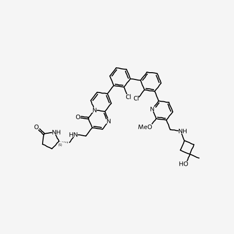 COc1nc(-c2cccc(-c3cccc(-c4ccn5c(=O)c(CNC[C@@H]6CCC(=O)N6)cnc5c4)c3Cl)c2Cl)ccc1CNC1CC(C)(O)C1